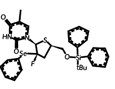 Cc1cn([C@H]2S[C@@H](CO[Si](c3ccccc3)(c3ccccc3)C(C)(C)C)C[C@]2(F)[Se]c2ccccc2)c(=O)[nH]c1=O